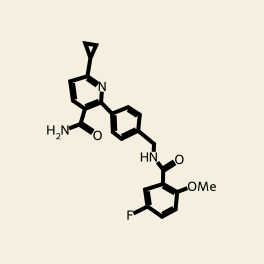 COc1ccc(F)cc1C(=O)NCc1ccc(-c2nc(C3CC3)ccc2C(N)=O)cc1